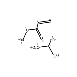 C=CC(=O)OC(C)(C)C.CCCCC(CCC)C(=O)O